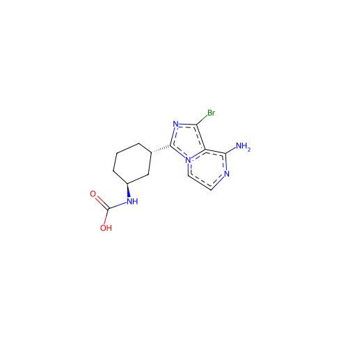 Nc1nccn2c([C@H]3CCC[C@H](NC(=O)O)C3)nc(Br)c12